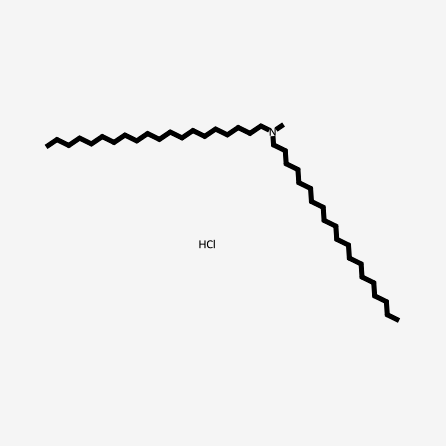 CCCCCCCCCCCCCCCCCCCCN(C)CCCCCCCCCCCCCCCCCCCC.Cl